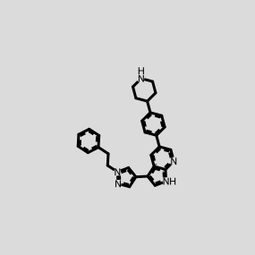 c1ccc(CCn2cc(-c3c[nH]c4ncc(-c5ccc(C6CCNCC6)cc5)cc34)cn2)cc1